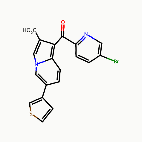 O=C(O)c1cn2cc(-c3ccsc3)ccc2c1C(=O)c1ccc(Br)cn1